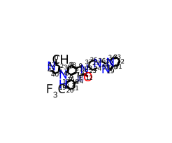 Cc1cc(Nc2ccc(CN(C(=O)/C=C/c3ccc(C(F)(F)F)cc3)C3CCN(Cc4ncc5ccccn45)CC3)cc2)ccn1